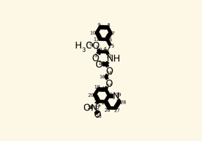 COC(=O)[C@H](Cc1ccccc1)NC(=O)OCOc1ccc([N+](=O)[O-])c2cccnc12